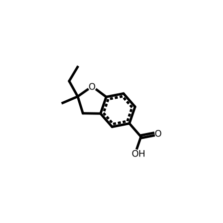 CCC1(C)Cc2cc(C(=O)O)ccc2O1